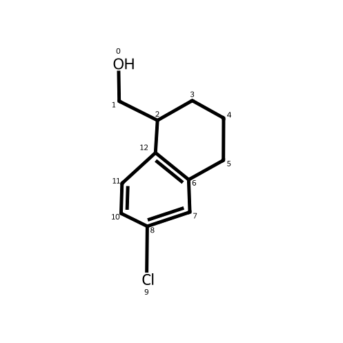 OCC1CCCc2cc(Cl)ccc21